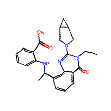 CCn1c(N2CC3CC3C2)nc2c(C(C)Nc3ccccc3C(=O)O)cccc2c1=O